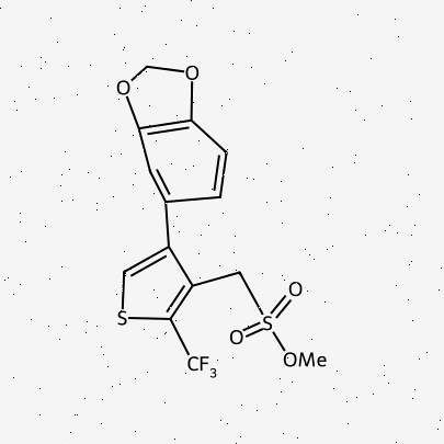 COS(=O)(=O)Cc1c(-c2ccc3c(c2)OCO3)csc1C(F)(F)F